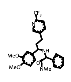 CNC(=O)C(NC(CCc1ccc(C(F)(F)F)nc1)c1ccc(OC)c(OC)c1)c1ccccc1